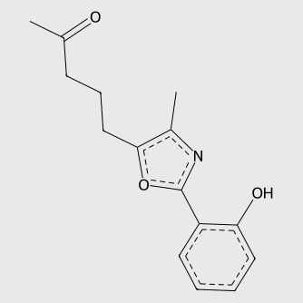 CC(=O)CCCc1oc(-c2ccccc2O)nc1C